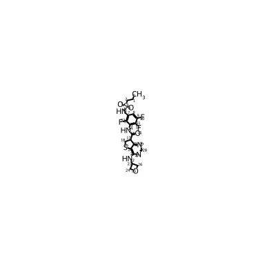 CCCS(=O)(=O)Nc1cc(F)c(F)c(NC(=O)C2CSc3c(NC4COC4)ncnc32)c1F